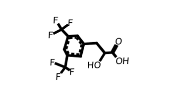 O=C(O)C(O)Cc1cc(C(F)(F)F)cc(C(F)(F)F)c1